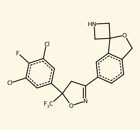 Fc1c(Cl)cc(C2(C(F)(F)F)CC(c3ccc4c(c3)C3(CNC3)OC4)=NO2)cc1Cl